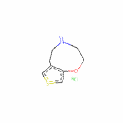 Cl.c1scc2c1CNCCO2